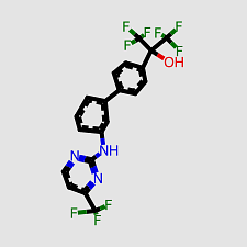 OC(c1ccc(-c2cccc(Nc3nccc(C(F)(F)F)n3)c2)cc1)(C(F)(F)F)C(F)(F)F